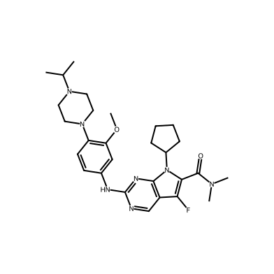 COc1cc(Nc2ncc3c(F)c(C(=O)N(C)C)n(C4CCCC4)c3n2)ccc1N1CCN(C(C)C)CC1